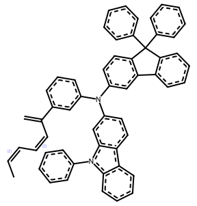 C=C(/C=C\C=C/C)c1cccc(N(c2ccc3c(c2)-c2ccccc2C3(c2ccccc2)c2ccccc2)c2ccc3c4ccccc4n(-c4ccccc4)c3c2)c1